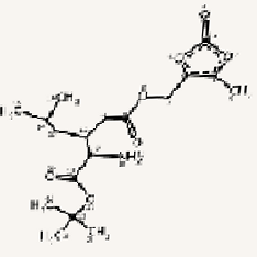 Cc1oc(=O)oc1COC(=O)CC(CC(C)C)C(N)C(=O)OC(C)(C)C